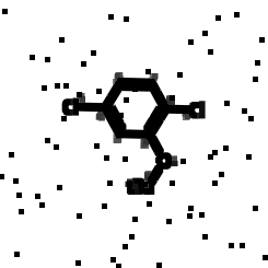 CC(C)(C)Oc1cc(Cl)[c]cc1Cl